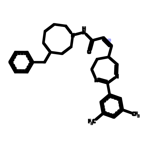 O=C(/C=C\C1C=NC(c2cc(C(F)(F)F)cc(C(F)(F)F)c2)=NCC1)NN1CCCCC(Cc2ccccc2)CC1